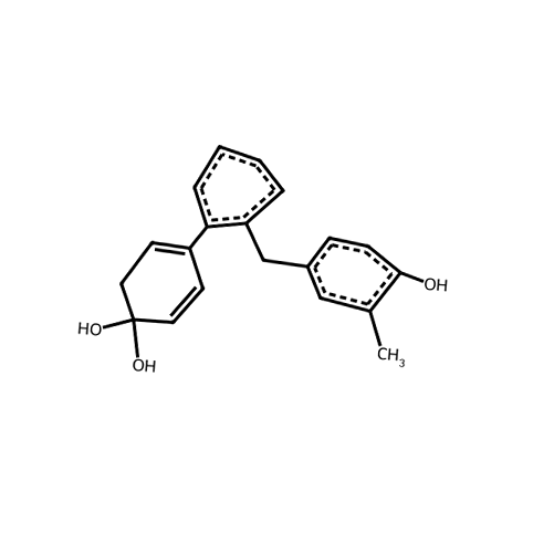 Cc1cc(Cc2ccccc2C2=CCC(O)(O)C=C2)ccc1O